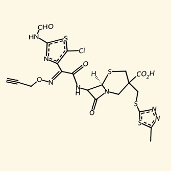 C#CCON=C(C(=O)NC1C(=O)N2CC(CSc3nnc(C)s3)(C(=O)O)CS[C@H]12)c1nc(NC=O)sc1Cl